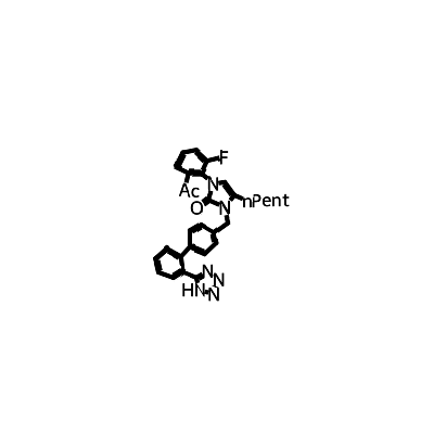 CCCCCc1cn(-c2c(F)cccc2C(C)=O)c(=O)n1Cc1ccc(-c2ccccc2-c2nnn[nH]2)cc1